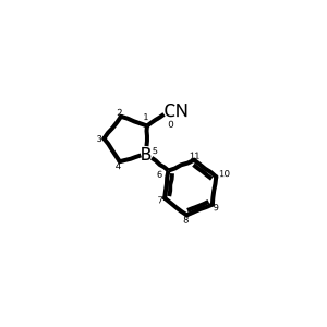 N#CC1CCCB1c1ccccc1